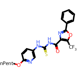 CCCCCOc1ccc(NC(=S)NC(=O)c2nc(-c3ccccc3)oc2C(F)(F)F)cn1